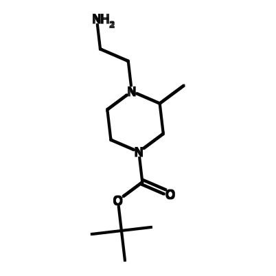 CC1CN(C(=O)OC(C)(C)C)CCN1CCN